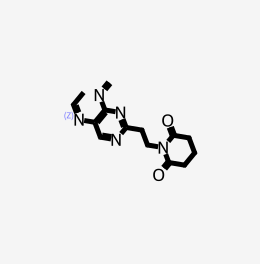 C=Nc1nc(CCN2C(=O)CCCC2=O)ncc1/N=C\C